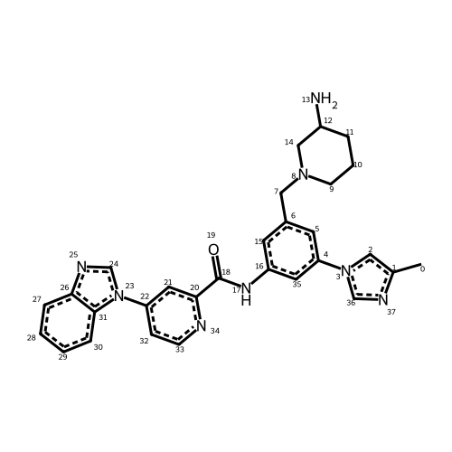 Cc1cn(-c2cc(CN3CCCC(N)C3)cc(NC(=O)c3cc(-n4cnc5ccccc54)ccn3)c2)cn1